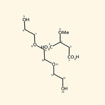 COC(CC(=O)O)C(=O)O.OCCOCCOCCO